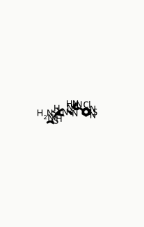 Cc1csc([C@]2(CN)[C@@H]3CN(c4cnc5c(-c6ccc7nsnc7c6Cl)n[nH]c5n4)C[C@@H]32)n1